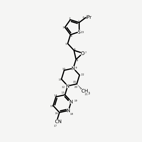 CC(C)c1ccc(CC2OC2N2CCN(c3ccc(C#N)nn3)[C@@H](C)C2)s1